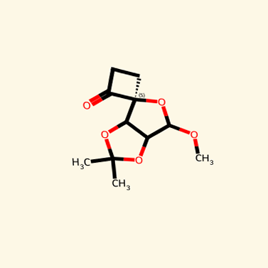 COC1O[C@@]2(CCC2=O)C2OC(C)(C)OC12